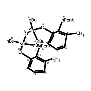 CCCCCc1c(C)cccc1[O][Sn]([CH2]CCC)([CH2]CCC)[O][Sn]([CH2]CCC)([CH2]CCC)[O]c1cccc(C)c1CCCCC